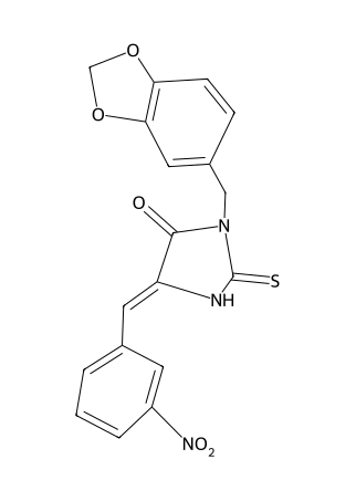 O=C1C(=Cc2cccc([N+](=O)[O-])c2)NC(=S)N1Cc1ccc2c(c1)OCO2